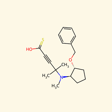 CN([C@@H]1CCC[C@H]1OCc1ccccc1)C(C)(C)C#CC(O)=S